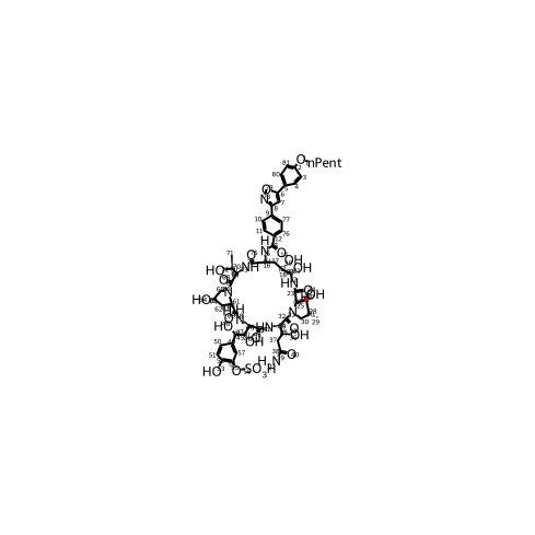 CCCCCOc1ccc(-c2cc(-c3ccc(C(=O)N[C@H]4C[C@H](O)[C@H](O)NC(=O)[C@H]5[C@@H](O)[C@H](C)CN5C(=O)[C@@H]([C@@H](O)CC(N)=O)NC(=O)[C@@H]([C@@H](O)[C@H](O)c5ccc(O)c(OS(=O)(=O)O)c5)NC(=O)[C@H]5C[C@H](O)CN5C(=O)[C@@H]([C@H](C)O)NC4=O)cc3)no2)cc1